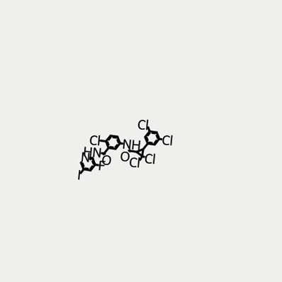 O=C(Nc1ncc(I)cc1F)c1cc(NC(=O)C2C(c3cc(Cl)cc(Cl)c3)C2(Cl)Cl)ccc1Cl